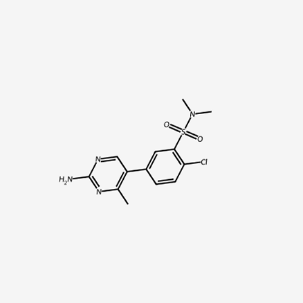 Cc1nc(N)ncc1-c1ccc(Cl)c(S(=O)(=O)N(C)C)c1